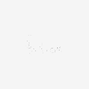 O=C(NC1CN(C(=O)c2csc(N3CC(O)C3)n2)C1)OCc1ccc([N+](=O)[O-])cc1